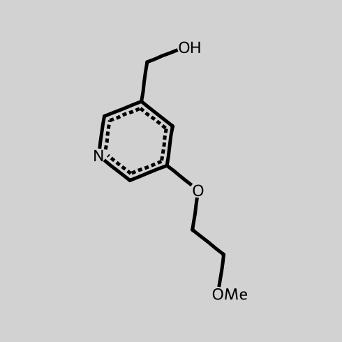 COCCOc1cncc(CO)c1